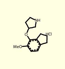 COc1ccc2c(c1OC1CCNC1)CCC2.Cl